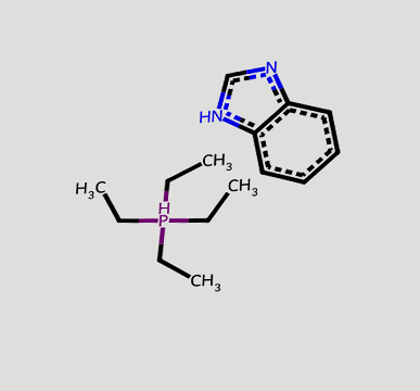 CC[PH](CC)(CC)CC.c1ccc2[nH]cnc2c1